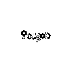 COc1ccccc1N1CCN(CCNS(=O)(=O)c2cc3c(cc2N)OCCCO3)CC1